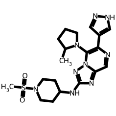 CC1CCCN1c1c(-c2cn[nH]c2)ncc2nc(NC3CCN(S(C)(=O)=O)CC3)nn12